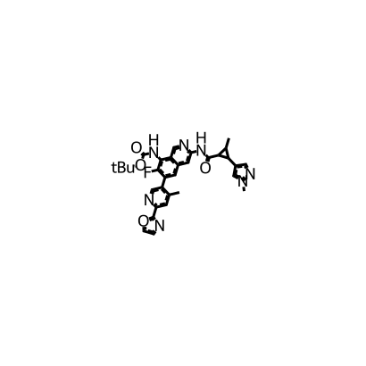 Cc1cc(-c2ncco2)ncc1-c1cc2cc(NC(=O)C3C(C)C3c3cnn(C)c3)ncc2c(NC(=O)OC(C)(C)C)c1F